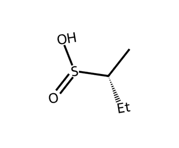 CC[C@@H](C)S(=O)O